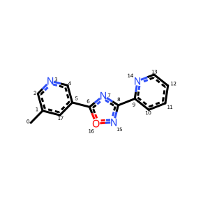 Cc1cncc(-c2nc(-c3ccccn3)no2)c1